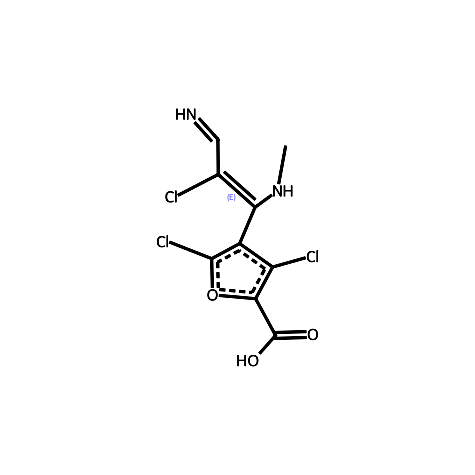 CN/C(=C(/Cl)C=N)c1c(Cl)oc(C(=O)O)c1Cl